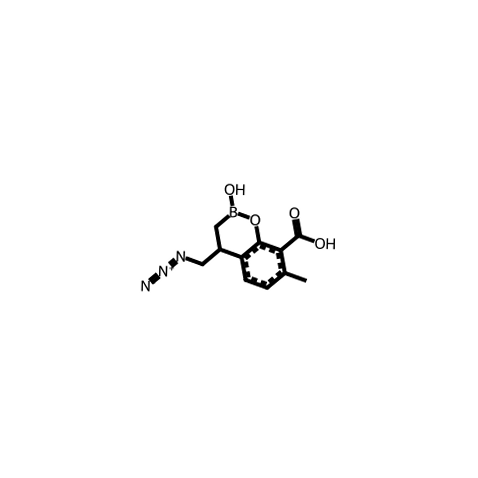 Cc1ccc2c(c1C(=O)O)OB(O)CC2CN=[N+]=[N-]